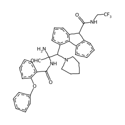 NC(C=O)(NC(=O)c1ccccc1Oc1ccccc1)C(c1cccc2c1-c1ccccc1C2C(=O)NCC(F)(F)F)N1CCCCC1